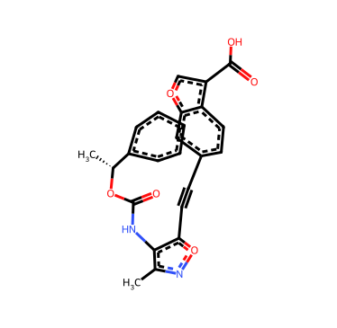 Cc1noc(C#Cc2ccc3c(C(=O)O)coc3c2)c1NC(=O)O[C@H](C)c1ccccc1